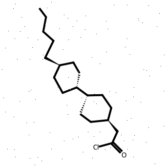 CCCCC[C@H]1CC[C@H]([C@H]2CC[C@H](CC(=O)Cl)CC2)CC1